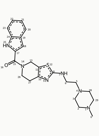 CN1CCN(CCNc2nc3c(s2)CN(C(=O)c2cc4ccccc4[nH]2)CC3)CC1